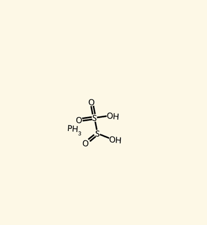 O=S(O)S(=O)(=O)O.P